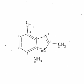 Cc1nc2c(C)cccc2s1.N